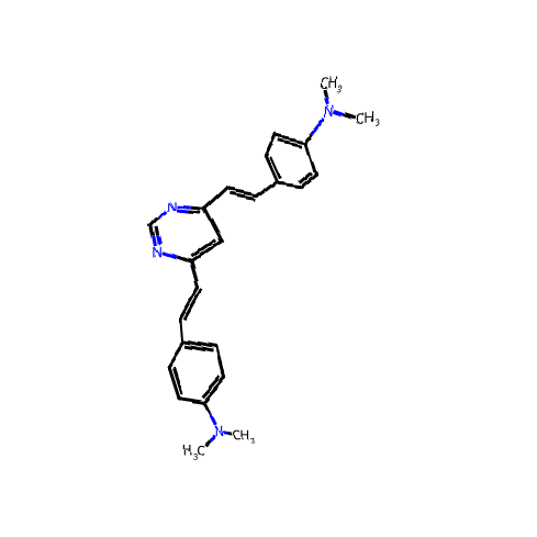 CN(C)c1ccc(C=Cc2cc(C=Cc3ccc(N(C)C)cc3)ncn2)cc1